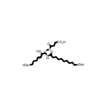 CCCCCCCCCCCCC/C=C/[C@@H](O)[C@H](COC(=O)CCC(=O)O)NC(=O)CCCCCCCCCCCCCCCCCCC